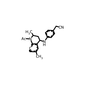 CC(=O)N1c2ccc(C)cc2C(Nc2ccc(CC#N)cc2)CC1C